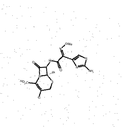 CON=C(C(=O)NC1C(=O)N2C(C(=O)O)=C(Cl)CS[C@H]12)c1csc(N)n1